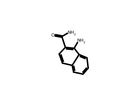 NC(=O)c1ccc2ccccc2c1N